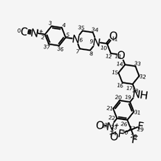 [C-]#[N+]c1ccc(N2CCN(C(=O)COC3CCC(Nc4ccc([N+](=O)[O-])c(C(F)(F)F)c4)CC3)CC2)cc1